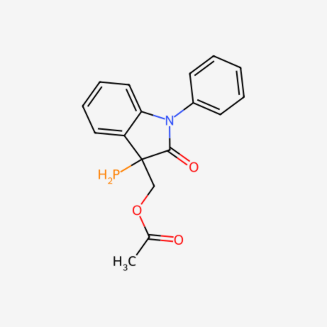 CC(=O)OCC1(P)C(=O)N(c2ccccc2)c2ccccc21